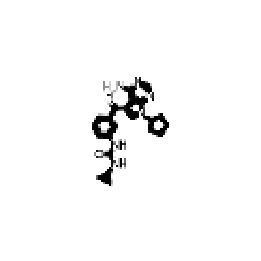 Nc1ncnc2c1c(C(=O)c1cccc(NC(=O)NC3CC3)c1)cn2C1CCCC1